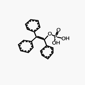 O=P(O)(O)OC(=C(c1ccccc1)c1ccccc1)c1ccccc1